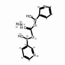 O=C(OB(O)c1cccnc1)OB(O)c1cccnc1.[KH].[KH]